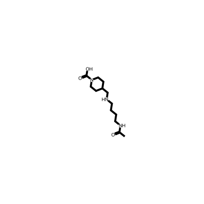 CC(=O)NCCCCNCC1CCN(C(=O)O)CC1